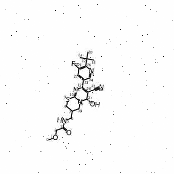 COCC(=O)NCC1CSC2=NC(c3cnc(C(C)(C)C)c(F)c3)=C(C#N)C(O)N2C1